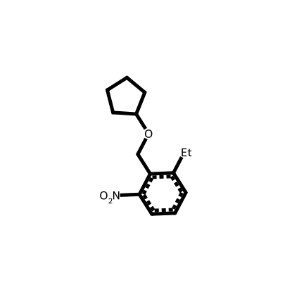 CCc1cccc([N+](=O)[O-])c1COC1CCCC1